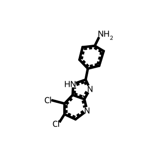 Nc1ccc(-c2nc3ncc(Cl)c(Cl)c3[nH]2)cc1